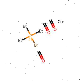 CC[PH](Br)(CC)CC.[C]=O.[C]=O.[C]=O.[Co]